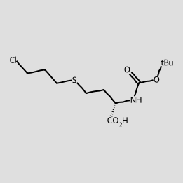 CC(C)(C)OC(=O)N[C@@H](CCSCCCCl)C(=O)O